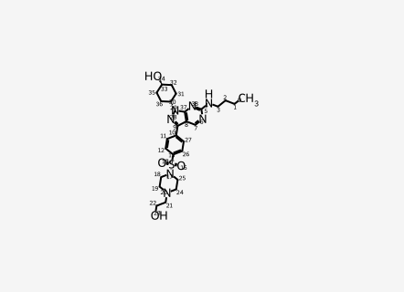 CCCCNc1ncc2c(-c3ccc(S(=O)(=O)N4CCN(CCO)CC4)cc3)nn([C@H]3CC[C@H](O)CC3)c2n1